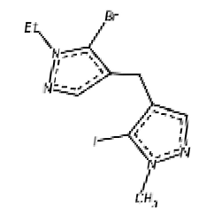 CCn1ncc(Cc2cnn(C)c2I)c1Br